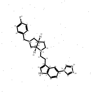 Fc1ccc(CN2C[C@@H]3CCN(CCc4c[nH]c5ccc(-n6cnnc6)cc45)[C@@H]3C2)cc1